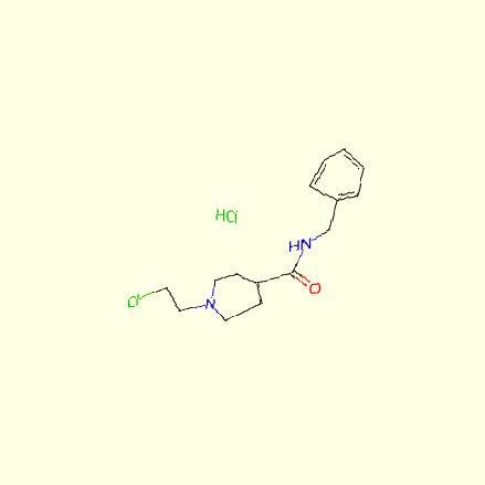 Cl.O=C(NCc1ccccc1)C1CCN(CCCl)CC1